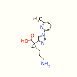 Cc1cccc(-n2cnc(C3(C(=O)O)CC3CCCN)c2)n1